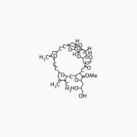 C=C1CC2CC[C@@]34C[C@H]5OC6[C@@H](OC7CCC(CC(=O)CC8C(CC9OC(CCC1O2)C[C@@H](C)C9=C)OC(CC(O)CO)[C@@H]8OC)O[C@@H]7[C@@H]6O3)C5O4